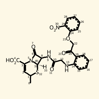 CC1C=C(C(=O)O)N2C(=O)C(NC(=O)CNc3ccccc3C(=O)COc3ccccc3[N+](=O)[O-])[C@H]2S1